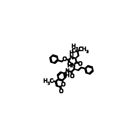 Cc1cc(=O)oc2cc(NC(=O)[C@H](CCc3ccccc3)NC(=O)[C@H](CC(C)C)NC(=O)OCc3ccccc3)ccc12